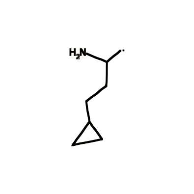 [CH2]C(N)CCC1CC1